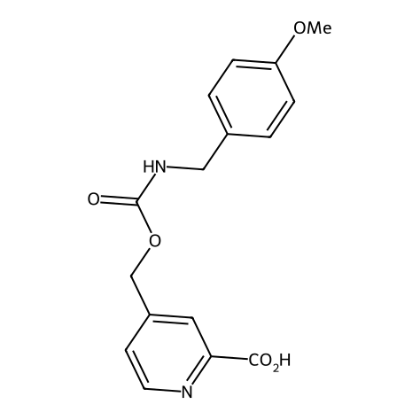 COc1ccc(CNC(=O)OCc2ccnc(C(=O)O)c2)cc1